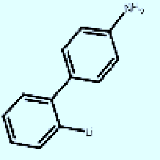 [Li][c]1ccccc1-c1ccc(N)cc1